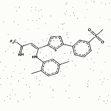 Cc1ccc(C)c(N/C(=C\C(=N)C(F)(F)F)c2ccc(-c3cccc(S(C)(=O)=O)c3)s2)c1